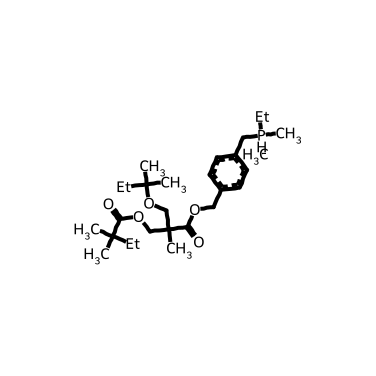 CCC(C)(C)OCC(C)(COC(=O)C(C)(C)CC)C(=O)OCc1ccc(C[PH](C)(C)CC)cc1